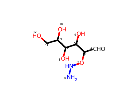 NNOC(C=O)C(O)C(O)C(O)CO